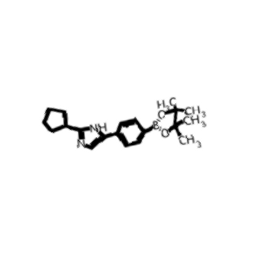 CC1(C)OB(c2ccc(-c3cnc(C4CCCC4)[nH]3)cc2)OC1(C)C